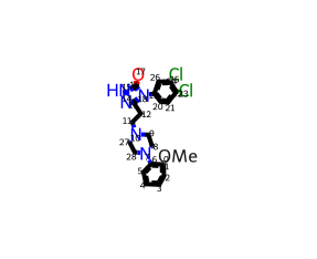 COc1ccccc1N1CCN(CCc2n[nH]c(=O)n2-c2ccc(Cl)c(Cl)c2)CC1